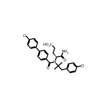 CC(C)(Cc1ccc(Cl)cc1)N(C(=O)c1ccc(-c2ccc(Cl)cc2)cc1)[C@@H](CCC(=O)O)C(N)=O